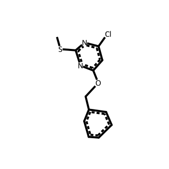 CSc1nc(Cl)cc(OCc2ccccc2)n1